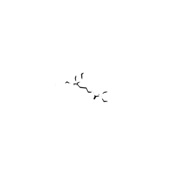 CCO[Si](CC)(CCCNC(=O)N(CC)CC)OCC